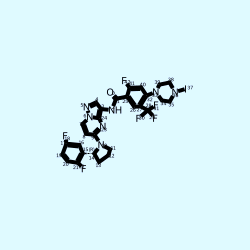 O=C(Nc1cnn2ccc(N3CCC[C@@H]3c3cc(F)ccc3F)nc12)c1cc(C(F)(F)F)c(N2CCN(I)CC2)cc1F